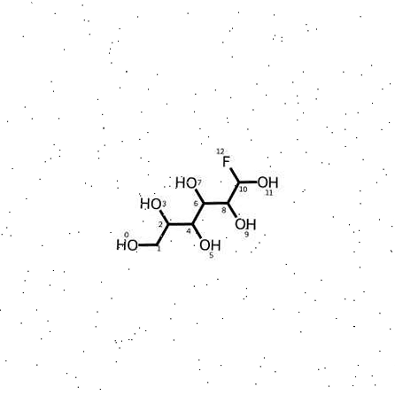 OCC(O)C(O)C(O)C(O)C(O)F